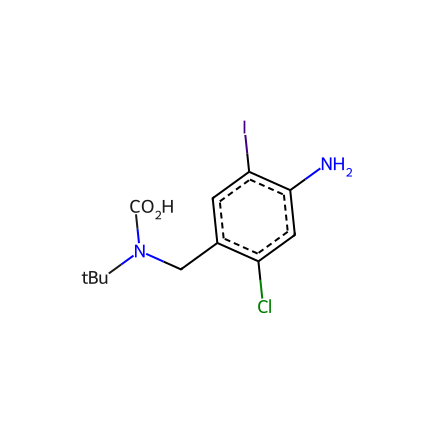 CC(C)(C)N(Cc1cc(I)c(N)cc1Cl)C(=O)O